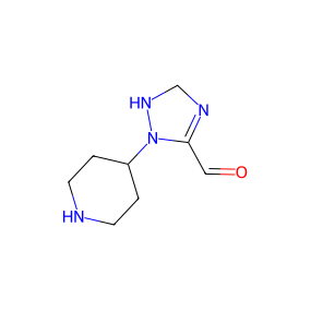 O=CC1=NCNN1C1CCNCC1